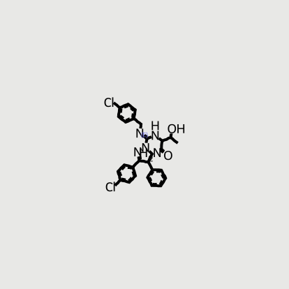 CC(O)C(N/C(=N\Cc1ccc(Cl)cc1)N1CC(c2ccccc2)C(c2ccc(Cl)cc2)=N1)C(N)=O